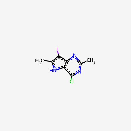 Cc1nc(Cl)c2[nH]c(C)c(I)c2n1